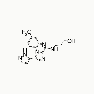 OCCCNc1nc2cc(C(F)(F)F)ccc2n2c(-c3ccn[nH]3)cnc12